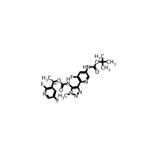 C[C@@H](OC(=O)Nc1c(-c2ncc(NC(=O)OC(C)(C)C)cc2F)nnn1C)c1cc(F)cnc1F